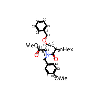 CCCCCCC(C(C)=O)C(=O)N(Cc1ccc(OC)cc1)[C@@H](COCc1ccccc1)C(=O)OC